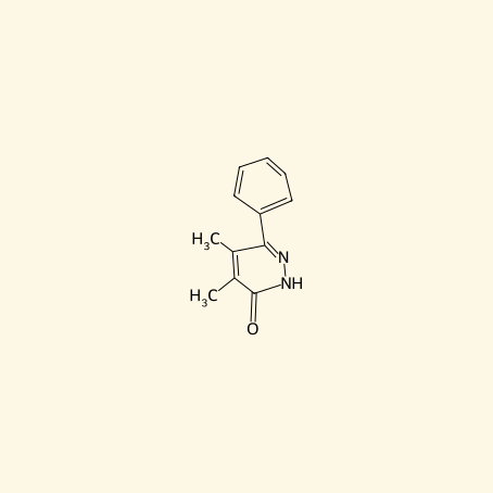 Cc1c(-c2ccccc2)n[nH]c(=O)c1C